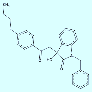 CCCCc1ccc(C(=O)CC2(O)C(=O)N(Cc3ccccc3)c3ccccc32)cc1